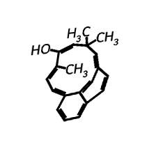 CC1=C\C=c2\cccc3cc/c(cc23)=C/C(C)(C)/C=C\1O